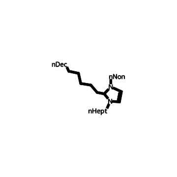 CCCCCCCCCCCCCCCC1N(CCCCCCC)C=CN1CCCCCCCCC